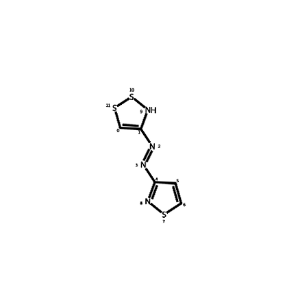 C1=C(N=Nc2ccsn2)NSS1